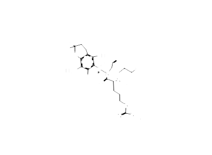 CCCC[C@@H](C=O)N(C(=O)[C@@H](N)CCCNC(=N)N)S(=O)(=O)c1c(C)c(C)c2c(c1C)CCC(C)(C)O2